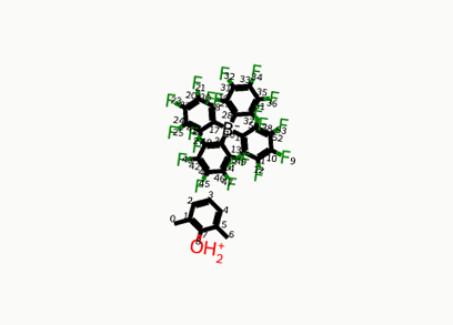 Cc1cccc(C)c1[OH2+].Fc1c(F)c(F)c([B-](c2c(F)c(F)c(F)c(F)c2F)(c2c(F)c(F)c(F)c(F)c2F)c2c(F)c(F)c(F)c(F)c2F)c(F)c1F